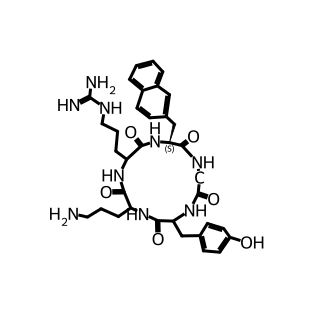 N=C(N)NCCCC1NC(=O)C(CCCN)NC(=O)C(Cc2ccc(O)cc2)NC(=O)CNC(=O)[C@H](Cc2ccc3ccccc3c2)NC1=O